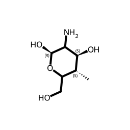 C[C@@H]1C(CO)O[C@@H](O)C(N)[C@H]1O